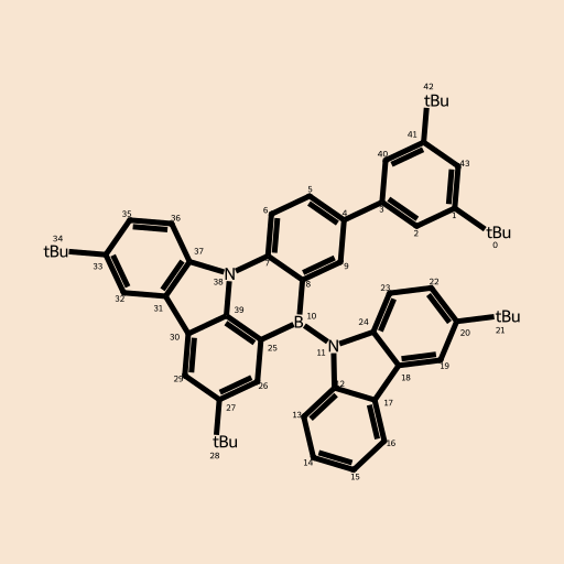 CC(C)(C)c1cc(-c2ccc3c(c2)B(n2c4ccccc4c4cc(C(C)(C)C)ccc42)c2cc(C(C)(C)C)cc4c5cc(C(C)(C)C)ccc5n-3c24)cc(C(C)(C)C)c1